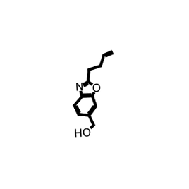 C=CCCc1nc2ccc(CO)cc2o1